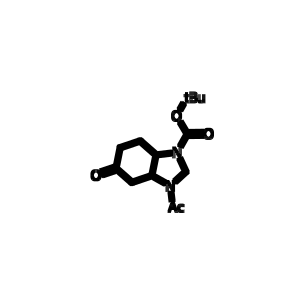 CC(=O)N1CN(C(=O)OC(C)(C)C)C2CCC(=O)CC21